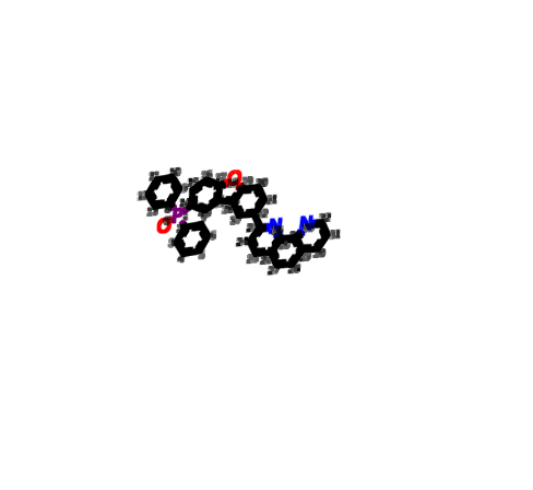 O=P(c1ccccc1)(c1ccccc1)c1ccc2oc3ccc(-c4ccc5ccc6cccnc6c5n4)cc3c2c1